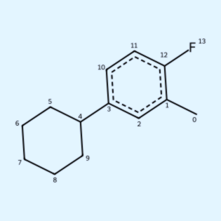 Cc1cc(C2CCCCC2)ccc1F